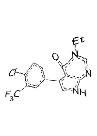 CCn1cnc2[nH]cc(-c3ccc(Cl)c(C(F)(F)F)c3)c2c1=O